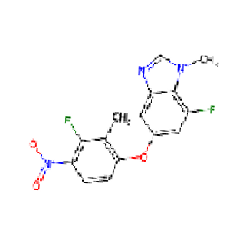 Cc1c(Oc2cc(F)c3c(c2)ncn3C)ccc([N+](=O)[O-])c1F